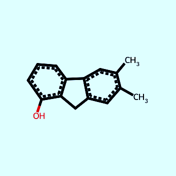 Cc1cc2c(cc1C)-c1cccc(O)c1C2